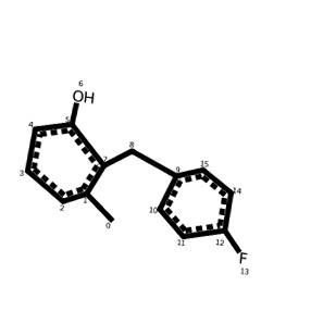 Cc1cccc(O)c1Cc1ccc(F)cc1